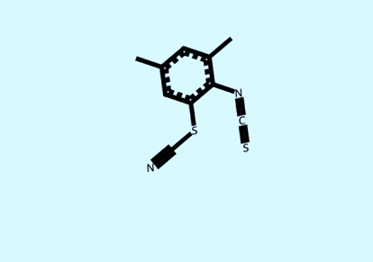 Cc1cc(C)c(N=C=S)c(SC#N)c1